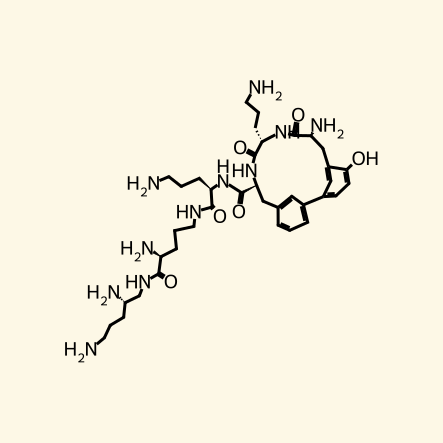 NCCC[C@H](N)CNC(=O)[C@@H](N)CCCNC(=O)[C@@H](CCCN)NC(=O)[C@@H]1Cc2cccc(c2)-c2ccc(O)c(c2)C[C@H](N)C(=O)N[C@@H](CCCN)C(=O)N1